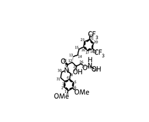 COc1cc2c(cc1OC)CN(C(=O)[C@H](CCCc1cc(C(F)(F)F)cc(C(F)(F)F)c1)[C@H](O)CONO)CC2